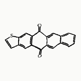 O=C1c2cc3ccccc3cc2C(=O)c2cc3sccc3cc21